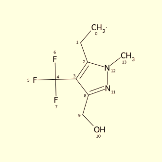 [CH2]Cc1c(C(F)(F)F)c(CO)nn1C